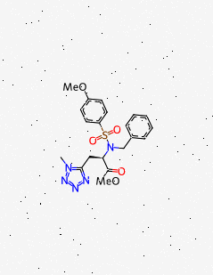 COC(=O)[C@@H](Cc1nnnn1C)N(Cc1ccccc1)S(=O)(=O)c1ccc(OC)cc1